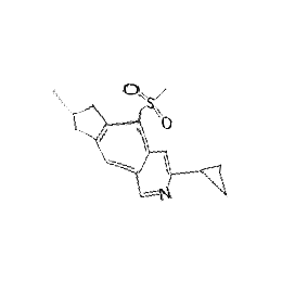 C[C@H]1Cc2cc3cnc(C4CC4)cc3c(S(C)(=O)=O)c2C1